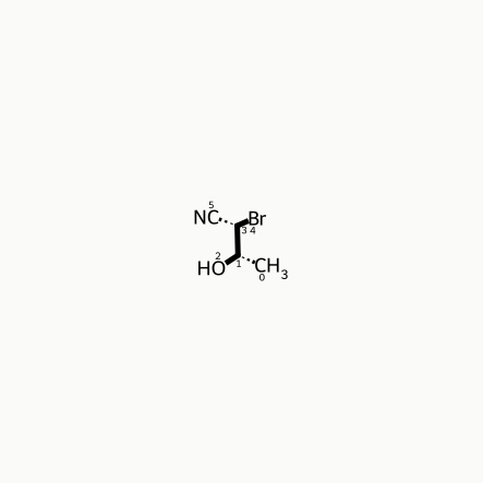 C[C@H](O)[C@@H](Br)C#N